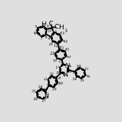 CC1(C)c2ccccc2-c2cc(-c3ccc(-c4cc(-c5ccc(-c6ccccn6)cc5)nc(-c5ccccc5)n4)cc3)ccc21